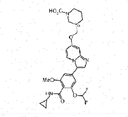 COc1cc(-c2cnc3cc(OC[C@H]4CCCN(C(=O)O)C4)ccn23)cc(OC(F)F)c1C(=O)NC1CC1